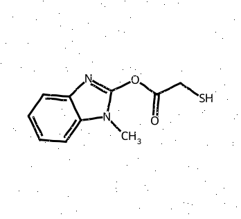 Cn1c(OC(=O)CS)nc2ccccc21